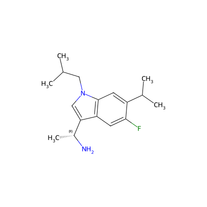 CC(C)Cn1cc([C@@H](C)N)c2cc(F)c(C(C)C)cc21